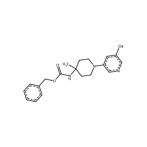 CC1(NC(=O)OCc2ccccc2)CCN(c2cncc(C#N)c2)CC1